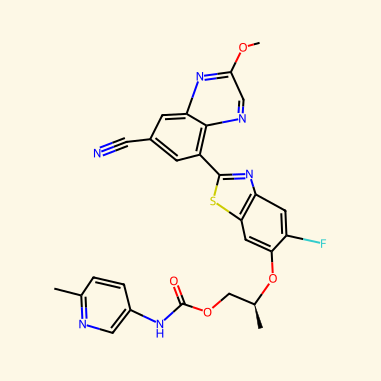 COc1cnc2c(-c3nc4cc(F)c(O[C@@H](C)COC(=O)Nc5ccc(C)nc5)cc4s3)cc(C#N)cc2n1